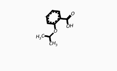 CC(C)Oc1c[c]ccc1C(=O)O